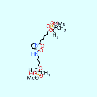 COC(C)(C)P(=O)(O)OCCCCCC(=O)N1CCC[C@H]1C(=O)NCCCCOC(C)(C)P(=O)(O)OC